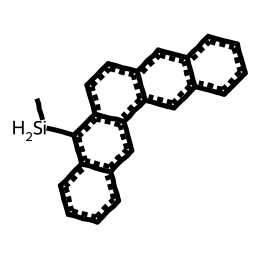 C[SiH2]c1c2ccccc2cc2c1ccc1cc3ccccc3cc12